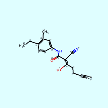 C#CCC/C(O)=C(\C#N)C(=O)Nc1ccc(CC)c(C)c1